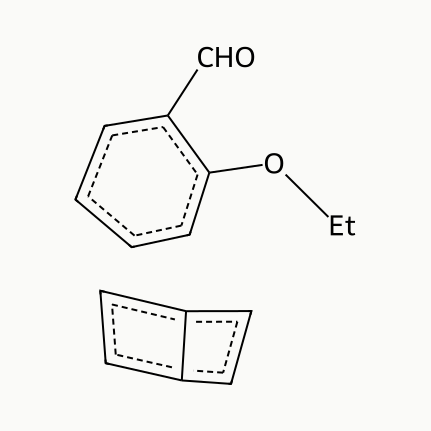 CCOc1ccccc1C=O.c1cc2ccc1-2